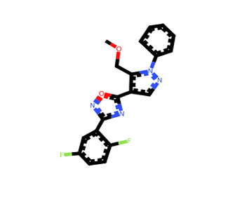 COCc1c(-c2nc(-c3cc(F)ccc3F)no2)cnn1-c1ccccc1